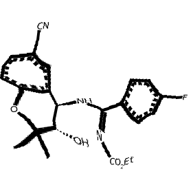 CCOC(=O)N=C(N[C@@H]1c2cc(C#N)ccc2OC(C)(C)[C@H]1O)c1ccc(F)cc1